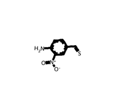 Nc1ccc(C=S)cc1[N+](=O)[O-]